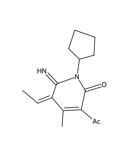 C/C=C1\C(=N)N(C2CCCC2)C(=O)C(C(C)=O)=C1C